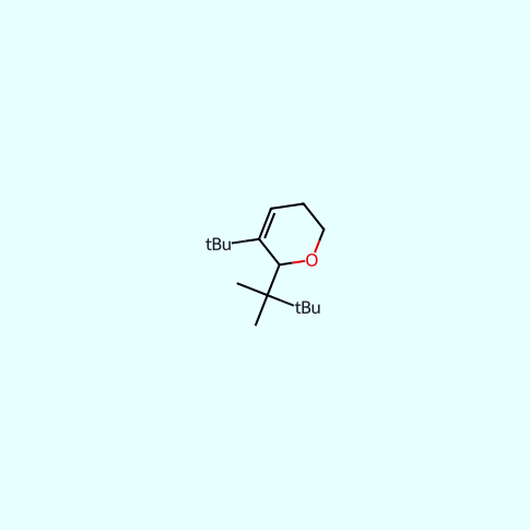 CC(C)(C)C1=CCCOC1C(C)(C)C(C)(C)C